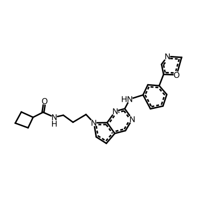 O=C(NCCCn1ccc2cnc(Nc3cccc(-c4cnco4)c3)nc21)C1CCC1